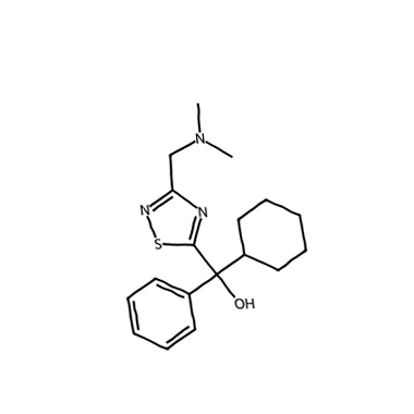 CN(C)Cc1nsc(C(O)(c2ccccc2)C2CCCCC2)n1